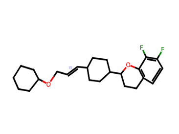 Fc1ccc2c(c1F)OC(C1CCC(/C=C/COC3CCCCC3)CC1)CC2